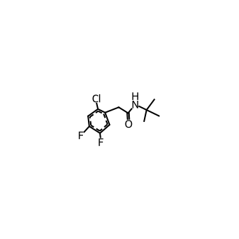 CC(C)(C)NC(=O)Cc1cc(F)c(F)cc1Cl